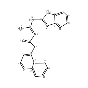 N/C(=N\C(=O)Cc1cccc2ccccc12)Nc1nc2ccccc2[nH]1